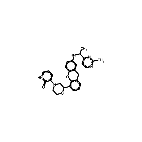 Cc1nccc(C(C)Nc2ccc3c(c2)Cc2cccc(C4CN(c5ccc[nH]c5=O)CCO4)c2O3)n1